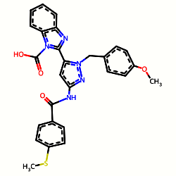 COc1ccc(Cn2nc(NC(=O)c3ccc(SC)cc3)cc2-c2nc3ccccc3n2C(=O)O)cc1